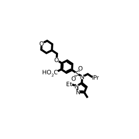 CCn1nc(C)cc1N(CC(C)C)S(=O)(=O)c1ccc(OCC2CCOCC2)c(C(=O)O)c1